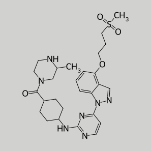 CC1CN(C(=O)C2CCC(Nc3nccc(-n4ncc5c(OCCCS(C)(=O)=O)cccc54)n3)CC2)CCN1